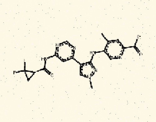 CCC(=O)c1cc(C)c(Nc2nn(C)cc2-c2cc(NC(=O)[C@H]3CC3(F)F)ncn2)cn1